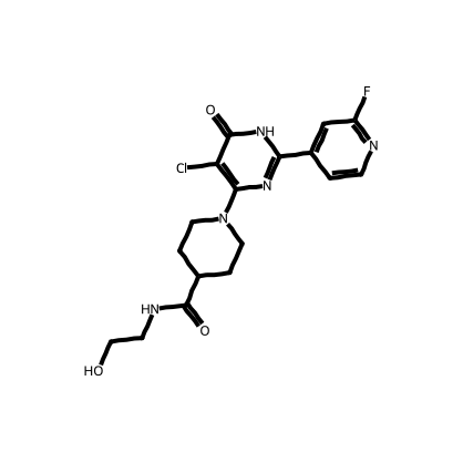 O=C(NCCO)C1CCN(c2nc(-c3ccnc(F)c3)[nH]c(=O)c2Cl)CC1